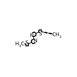 CC#CC#Cc1ccc(-c2ccnc(-c3cc(-c4ccc(C)s4)ccn3)c2)s1